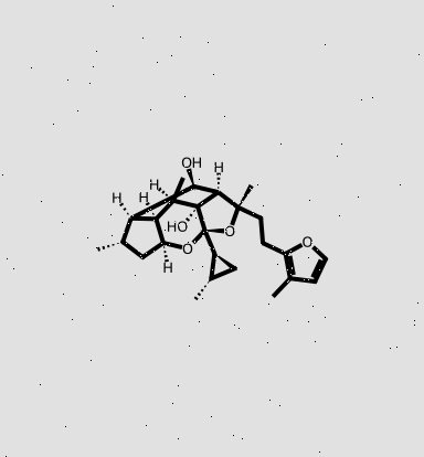 Cc1ccoc1CC[C@]1(C)O[C@@]2([C@H]3C[C@@H]3C)O[C@H]3C[C@H](C)[C@H]4[C@@H](O)[C@@H]1[C@]2(O)[C@H](C)[C@H]43